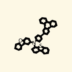 c1ccc2c(c1)oc1ccc(N(c3ccc(-c4ccc5c6ccccc6c6ccccc6c5c4)cc3)c3cccc4c3sc3ccccc34)cc12